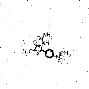 CC1SC(c2ccc(N(C)C)cc2)N(NC(N)=O)C1=O